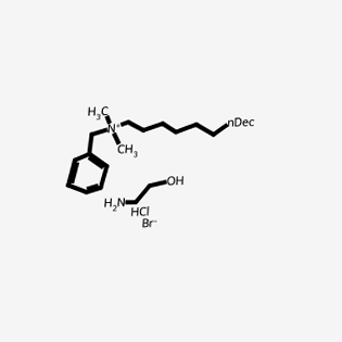 CCCCCCCCCCCCCCCC[N+](C)(C)Cc1ccccc1.Cl.NCCO.[Br-]